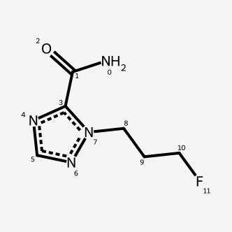 NC(=O)c1ncnn1CCCF